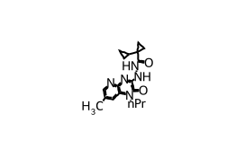 CCCn1c(=O)c(NNC(=O)C2(C3CC3)CC2)nc2ncc(C)cc21